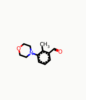 Cc1c(C=O)cccc1N1CCOCC1